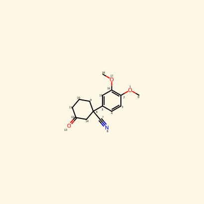 COc1ccc(C2(C#N)CCCC(=O)C2)cc1OC